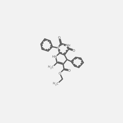 CCOC(=O)C1=C(C)Nc2c(c(=O)[nH]c(=O)n2-c2ccccc2)C1c1ccccc1